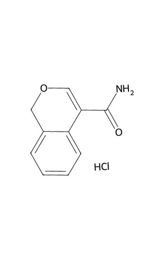 Cl.NC(=O)C1=COCc2ccccc21